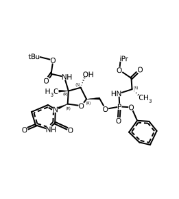 CC(C)OC(=O)[C@H](C)NP(=O)(OC[C@H]1O[C@@H](n2ccc(=O)[nH]c2=O)[C@](C)(NC(=O)OC(C)(C)C)[C@@H]1O)Oc1ccccc1